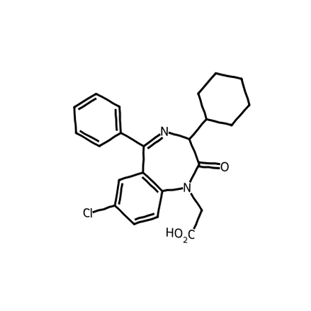 O=C(O)CN1C(=O)C(C2CCCCC2)N=C(c2ccccc2)c2cc(Cl)ccc21